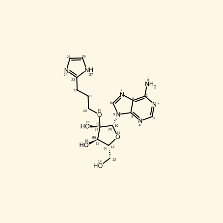 Nc1ncnc2c1ncn2[C@@H]1O[C@H](CO)[C@@H](O)[C@]1(O)OCCCc1ncc[nH]1